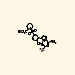 CCOC(=O)C1CCCCN1S(=O)(=O)c1ccc(C)c(-c2cnc3c(N)nc(C(F)(F)F)cn23)c1